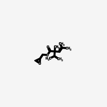 CC(C)=CC(C)(C(=O)OCC1CO1)C(C)C